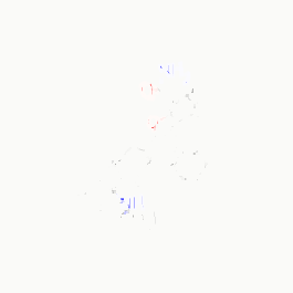 NC(=O)c1cccc2c(-c3ccccc3)c(-c3ccc(C4(NC(=O)O)CCC4)cc3)oc12